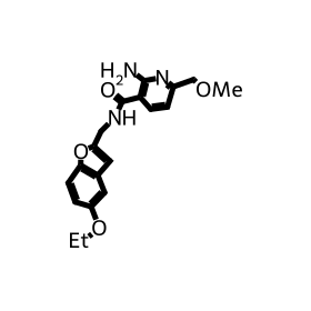 CCOc1ccc2oc(CNC(=O)c3ccc(COC)nc3N)cc2c1